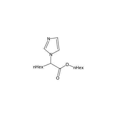 CCCCCCOC(=O)C(CCCCCC)n1ccnc1